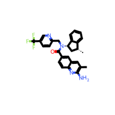 Cc1cc2cc(C(=O)N(Cc3ccc(C(F)(F)F)cn3)[C@H]3C[C@@H](C)c4ccccc43)ccc2nc1N